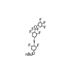 CCCCOc1cc(F)c(C#Cc2cc(F)c(C(F)(F)Oc3cc(F)c(F)c(F)c3)c(F)c2)c(F)c1